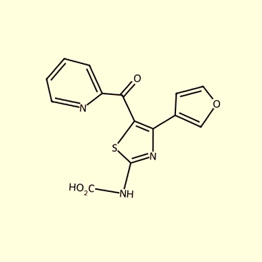 O=C(O)Nc1nc(-c2ccoc2)c(C(=O)c2ccccn2)s1